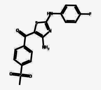 CS(=O)(=O)c1ccc(C(=O)c2sc(Nc3ccc(F)cc3)nc2N)cc1